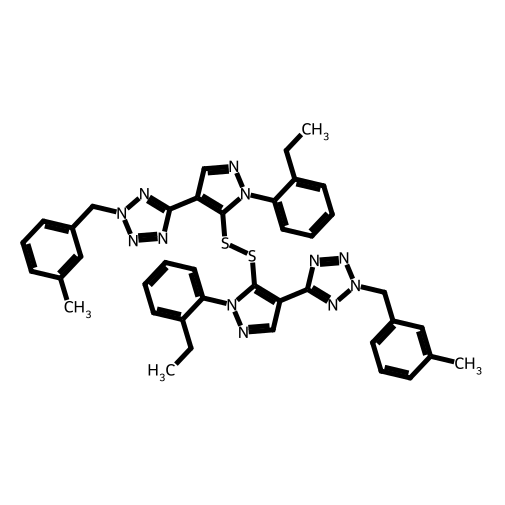 CCc1ccccc1-n1ncc(-c2nnn(Cc3cccc(C)c3)n2)c1SSc1c(-c2nnn(Cc3cccc(C)c3)n2)cnn1-c1ccccc1CC